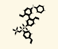 C=Cc1ccc([Si](C)(C[Si](C)(C)C)[Si](C)(C)c2ccc(C=C)c(-c3cc(OC4CCCCC4)ccc3C=C)c2)cc1